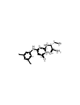 Cc1cc(C)cc(Nc2cc(=O)[nH]c(N[C@H](CC(C)C)C(N)=O)n2)c1